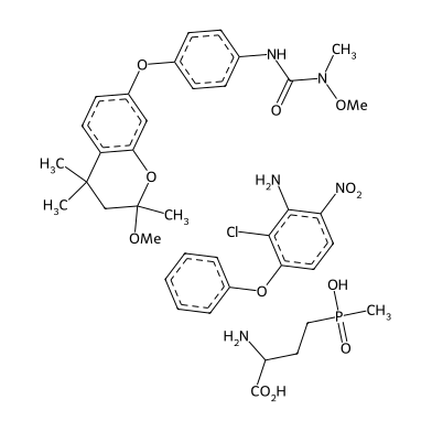 CON(C)C(=O)Nc1ccc(Oc2ccc3c(c2)OC(C)(OC)CC3(C)C)cc1.CP(=O)(O)CCC(N)C(=O)O.Nc1c([N+](=O)[O-])ccc(Oc2ccccc2)c1Cl